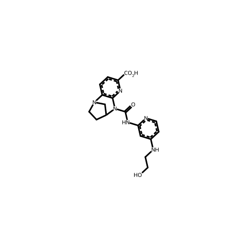 O=C(O)c1ccc2c(n1)N(C(=O)Nc1cc(NCCO)ccn1)C1CCN2C1